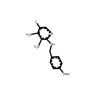 COc1ccc(CNc2ncc(F)c(N)c2[N+](=O)[O-])cc1